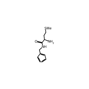 CSCCC(N)C(=O)NCc1ccccc1